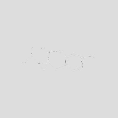 O=C1Oc2cc(Br)ccc2CC12CC2P(=O)=O